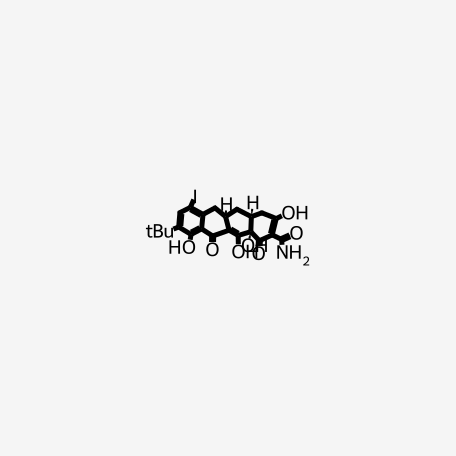 CC(C)(C)c1cc(I)c2c(c1O)C(=O)C1=C(O)[C@]3(O)C(=O)C(C(N)=O)=C(O)C[C@@H]3C[C@@H]1C2